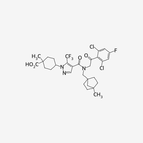 CC12CCC(CN(CC(=O)c3c(Cl)cc(F)cc3Cl)C(=O)c3cnn(C4CCC(C)(C(=O)O)CC4)c3C(F)(F)F)(CC1)C2